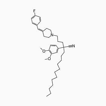 CCCCCCCCCCCCC(C#N)(CCCN1CCC(=Cc2ccc(F)cc2)CC1)c1ccc(OC)c(OC)c1